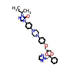 CCC(C)n1ncn(-c2ccc(N3CCN(c4ccc(OC[C@@H]5CO[C@@](Cn6nccn6)(c6ccccc6)O5)cc4)CC3)cc2)c1=O